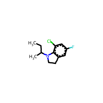 CCC(C)N1CCc2cc(F)cc(Cl)c21